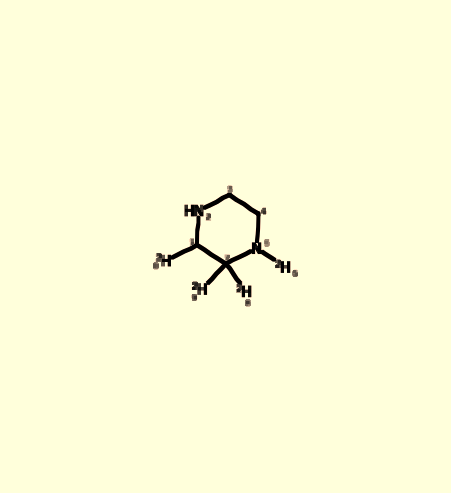 [2H]C1NCCN([2H])C1([2H])[2H]